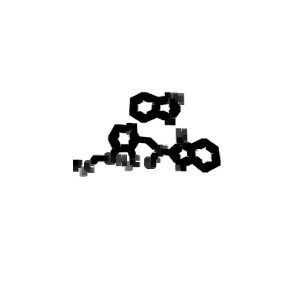 Cc1c(OCC(F)(F)F)ccnc1C[S+]([O-])c1nc2ccccc2[nH]1.c1ccc2[nH]cnc2c1